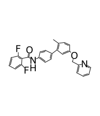 Cc1ccc(OCc2ccccn2)cc1-c1ccc(NC(=O)c2c(F)cccc2F)cc1